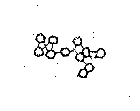 c1ccc(N(c2ccc(-c3cccc4c3-c3ccccc3C43c4ccccc4-c4ccccc43)cc2)c2ccc(-c3cccc4ccccc34)cc2)c(-c2ccc3oc4ccccc4c3c2)c1